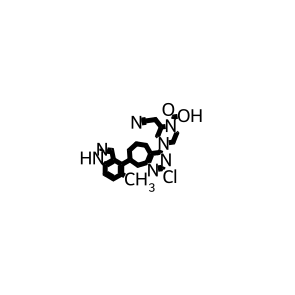 Cc1ccc2[nH]ncc2c1C1CCCc2c(nc(Cl)nc2N2CCN(C(=O)O)C(CC#N)C2)C1